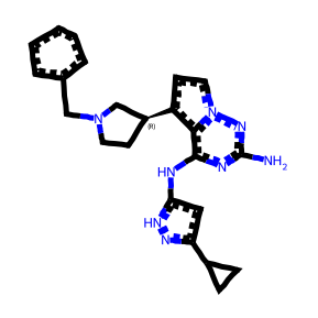 Nc1nc(Nc2cc(C3CC3)n[nH]2)c2c([C@H]3CCN(Cc4ccccc4)C3)ccn2n1